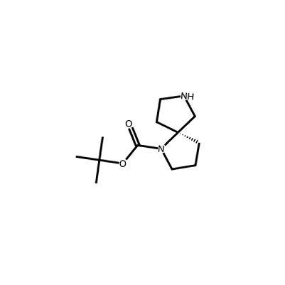 CC(C)(C)OC(=O)N1CCC[C@@]12CCNC2